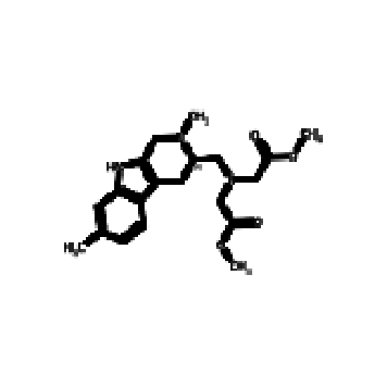 COC(=O)CN(CC(=O)OC)C[C@H]1Cc2c([nH]c3cc(C)ccc23)CN1C